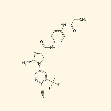 CCC(=O)Nc1ccc(NC(=O)[C@@H]2CN(c3ccc(C#N)c(C(F)(F)F)c3)[C@@H](C)O2)cc1